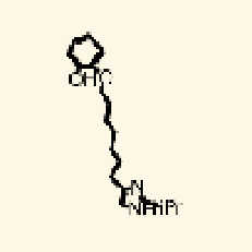 CC(C)c1nc(CCCCCCCOc2ccccc2O)c[nH]1